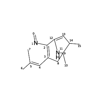 C=NC1=C(C=C(C)C)CC2(C)NC1=CC2C